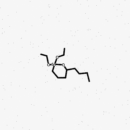 CCCCC1CC[CH2][Sn]([O]CC)([O]CC)[O]1